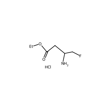 CCOC(=O)CC(N)CF.Cl